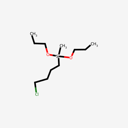 CCCO[Si](C)(CCCCCl)OCCC